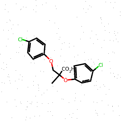 CC(COc1ccc(Cl)cc1)(Oc1ccc(Cl)cc1)C(=O)O